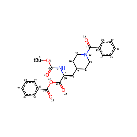 CC(C)(C)OC(=O)N[C@@H](CC1CCN(C(=O)c2ccccc2)CC1)C(=O)OC(=O)c1ccccc1